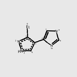 CCc1n[nH]cc1C1=C[N]C=N1